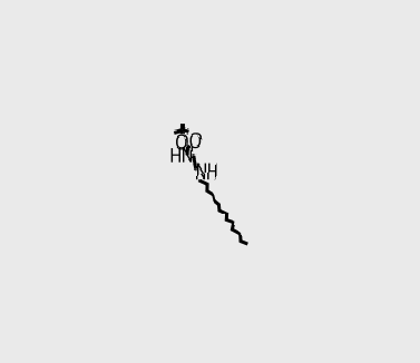 CCCCCCCCCCCCCCNCCNC(=O)OC(C)(C)C